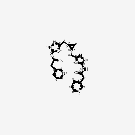 O=C(Cc1cccnc1)Nc1nnc(C[C@H]2C[C@@H]2Cc2nnc(NC(=O)Cc3cccnc3)s2)s1